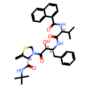 C=C1SCN(C(=O)[C@@H](O)[C@H](Cc2ccccc2)NC(=O)[C@@H](NC(=O)c2cccc3ccccc23)C(C)C)[C@@H]1C(=O)NC(C)(C)C